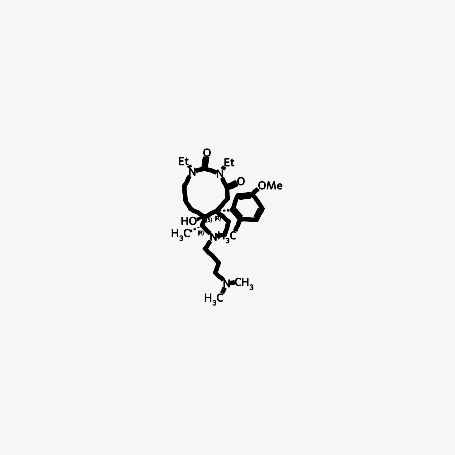 CCN1CCC[C@@]2(O)[C@@H](C)N(CCCN(C)C)CC[C@]2(c2cc(OC)ccc2C)CC(=O)N(CC)C1=O